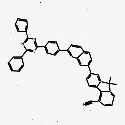 CC1(C)c2cc(-c3ccc4ccc(-c5ccc(-c6nc(-c7ccccc7)nc(-c7ccccc7)n6)cc5)cc4c3)ccc2-c2c(C#N)cccc21